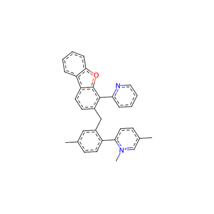 Cc1ccc(-c2ccc(C)c[n+]2C)c(Cc2ccc3c(oc4ccccc43)c2-c2ccccn2)c1